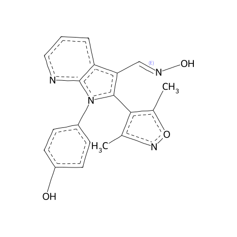 Cc1noc(C)c1-c1c(/C=N/O)c2cccnc2n1-c1ccc(O)cc1